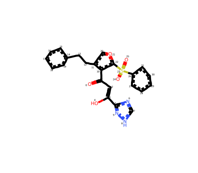 O=C(C=C(O)c1nc[nH]n1)c1c(CCc2ccccc2)coc1S(=O)(=O)c1ccccc1